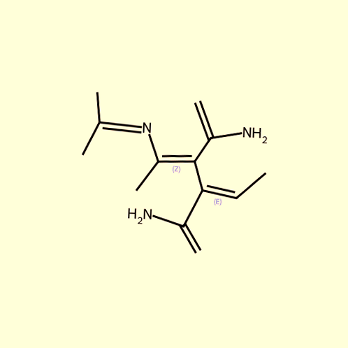 C=C(N)C(=C(/C)N=C(C)C)/C(=C\C)C(=C)N